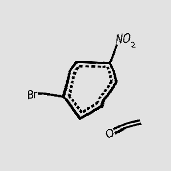 C=O.O=[N+]([O-])c1cccc(Br)c1